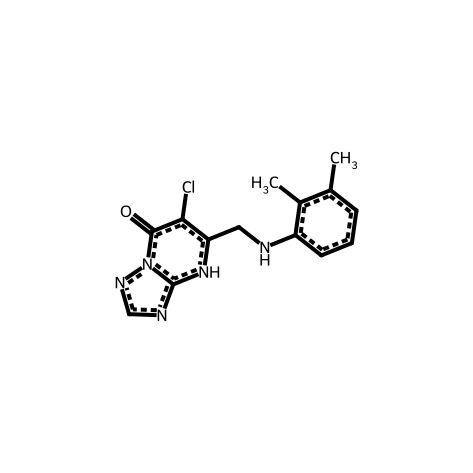 Cc1cccc(NCc2[nH]c3ncnn3c(=O)c2Cl)c1C